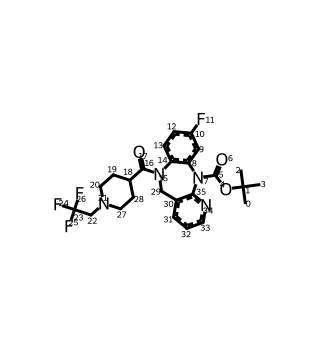 CC(C)(C)OC(=O)N1c2cc(F)ccc2N(C(=O)C2CCN(CC(F)(F)F)CC2)Cc2cccnc21